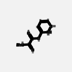 COC(=O)C(=O)OC1=CC=CON1